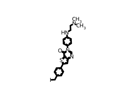 CN(C)CCNc1ccc(-n2cnc3cc(-c4ccc(CI)cc4)sc3c2=O)cc1